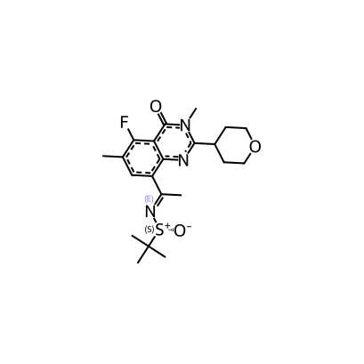 C/C(=N\[S@+]([O-])C(C)(C)C)c1cc(C)c(F)c2c(=O)n(C)c(C3CCOCC3)nc12